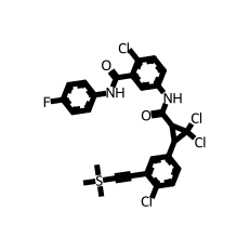 CS(C)(C)C#Cc1cc(C2C(C(=O)Nc3ccc(Cl)c(C(=O)Nc4ccc(F)cc4)c3)C2(Cl)Cl)ccc1Cl